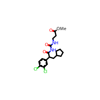 COC(=O)CCNC(=O)NC(=O)C(CC1CCCC1)c1ccc(Cl)c(Cl)c1